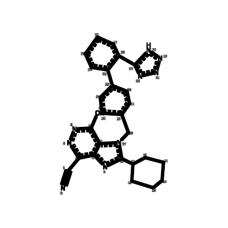 N#Cc1nnc(O)c2c1nc(C1CCCCC1)n2Cc1ccc(-c2ccccc2-c2nnn[nH]2)cc1